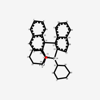 OPc1ccc2ccccc2c1-c1c(P(C2CCCCC2)C2CCCCC2)ccc2ccccc12